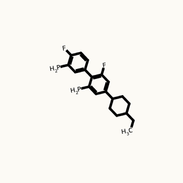 CCC1CCC(c2cc(F)c(-c3ccc(F)c(P)c3)c(P)c2)CC1